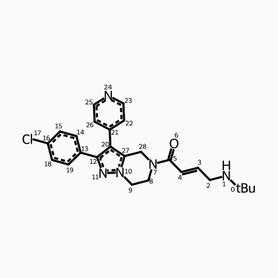 CC(C)(C)NC/C=C/C(=O)N1CCn2nc(-c3ccc(Cl)cc3)c(-c3ccncc3)c2C1